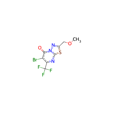 COCc1nn2c(=O)c(Br)c(C(F)(F)F)nc2s1